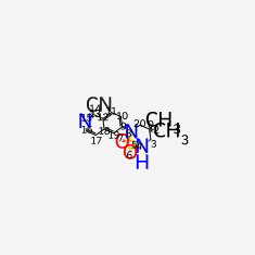 CC1(C)CNS(=O)(=O)N(c2ccc3c(C#N)nccc3c2)C1